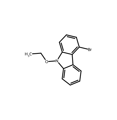 CCOn1c2ccccc2c2c(Br)cccc21